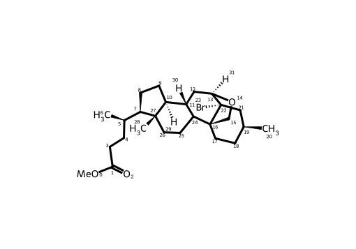 COC(=O)CC[C@@H](C)[C@H]1CC[C@H]2[C@@H]3C[C@H]4OC[C@@]5(CC[C@H](C)C[C@]45Br)C3CC[C@]12C